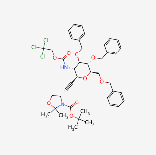 CC(C)(C)OC(=O)N1[C@@H](C#C[C@@H]2O[C@H](COCc3ccccc3)[C@@H](OCc3ccccc3)[C@H](OCc3ccccc3)[C@H]2NC(=O)OCC(Cl)(Cl)Cl)COC1(C)C